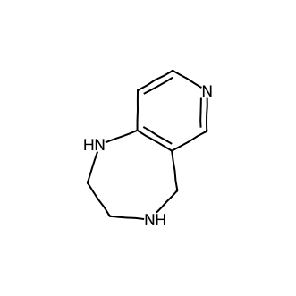 c1cc2c(cn1)CNCCN2